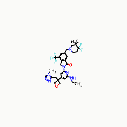 CCNc1cc(C2(Cc3nncn3C)COC2)cc(N2Cc3c(cc(CN4CCC(F)(F)C(C)C4)cc3C(F)(F)F)C2=O)n1